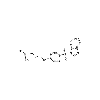 CCCN(CCC)CCCOc1ccc(S(=O)(=O)c2c(C)cn3ccccc23)cc1